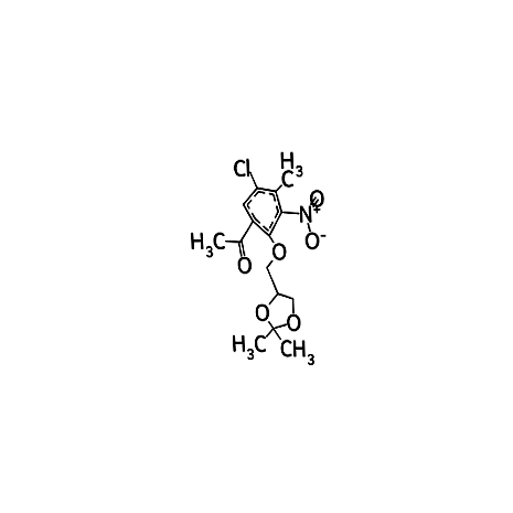 CC(=O)c1cc(Cl)c(C)c([N+](=O)[O-])c1OCC1COC(C)(C)O1